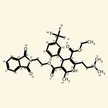 CCOC(=O)C1=C(CCN(C)C)NC(C)=C(C(=O)OCCN2C(=O)c3ccccc3C2=O)C1c1cccc(C(F)(F)F)c1